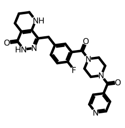 O=C(c1ccncc1)N1CCN(C(=O)c2cc(Cc3n[nH]c(=O)c4c3NCCC4)ccc2F)CC1